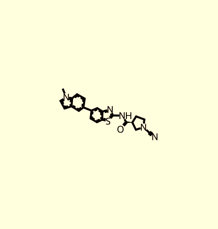 Cn1ccc2cc(-c3ccc4sc(NC(=O)[C@H]5CCN(C#N)C5)nc4c3)ccc21